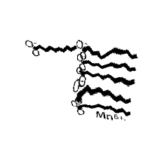 CCCCCCCCCC(=O)[O-].CCCCCCCCCC(=O)[O-].CCCCCCCCCC(=O)[O-].CCCCCCCCCC(=O)[O-].CCCCCCCCCC(=O)[O-].CCCCCCCCCC(=O)[O-].[Mn+6]